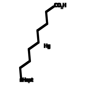 CCCCCCCCCCCCCCC(=O)O.[Hg]